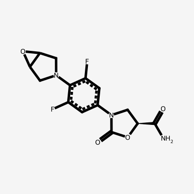 NC(=O)[C@@H]1CN(c2cc(F)c(N3CC4OC4C3)c(F)c2)C(=O)O1